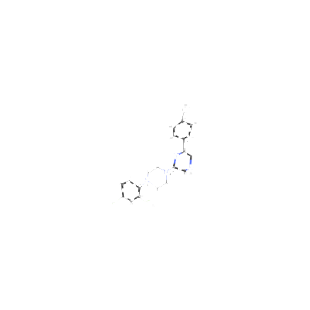 Fc1ccc(N2CCN(c3cncc(-c4ccc(C(F)(F)F)cc4)n3)CC2)c(F)c1